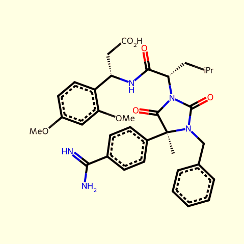 COc1ccc([C@H](CC(=O)O)NC(=O)[C@H](CC(C)C)N2C(=O)N(Cc3ccccc3)[C@@](C)(c3ccc(C(=N)N)cc3)C2=O)c(OC)c1